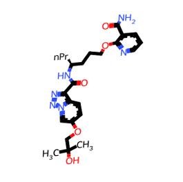 CCC[C@@H](CCCOc1ncccc1C(N)=O)NC(=O)c1nnn2cc(OCC(C)(C)O)ccc12